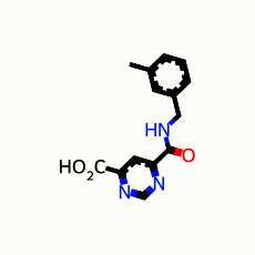 Cc1cccc(CNC(=O)c2cc(C(=O)O)ncn2)c1